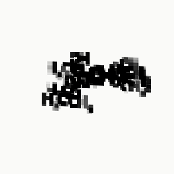 CC1(O)CC(NC(=O)OC(C)(C)C)(c2ccc(B3OC(C)(C)C(C)(C)O3)cc2)C1